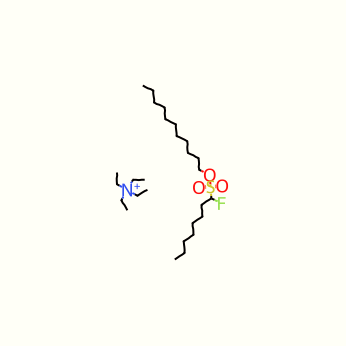 CCCCCCCCCCCOS(=O)(=O)C(F)CCCCCCC.CC[N+](CC)(CC)CC